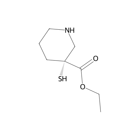 CCOC(=O)[C@@]1(S)CCCNC1